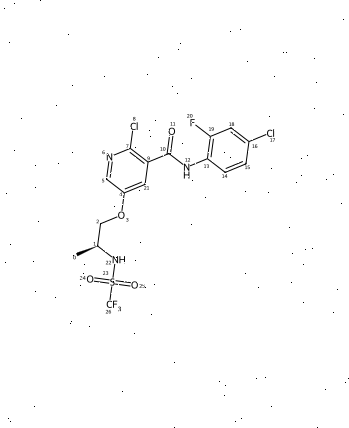 C[C@@H](COc1cnc(Cl)c(C(=O)Nc2ccc(Cl)cc2F)c1)NS(=O)(=O)C(F)(F)F